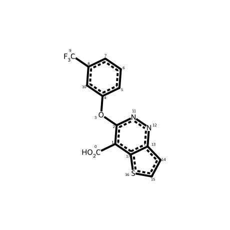 O=C(O)c1c(Oc2cccc(C(F)(F)F)c2)nnc2ccsc12